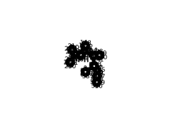 c1ccc(-c2cc(C3NC(n4c5ccccc5c5c6c7ccccc7n(-c7ccccc7)c6ccc54)=Nc4ccccc43)cc3sc4cc5ccccc5cc4c23)cc1